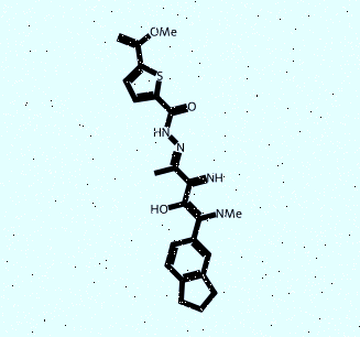 C=C(OC)c1ccc(C(=O)N/N=C(\C)C(=N)/C(O)=C(\NC)c2ccc3c(c2)CCC3)s1